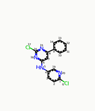 Clc1ccc(Nc2cc(-c3ccccc3)nc(Cl)n2)cn1